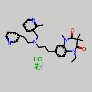 CCN1C(=O)C(C)(C)C(=O)N(C)c2cc(CCCN(CCc3cccnc3)Cc3cccnc3C)ccc21.Cl.Cl.Cl